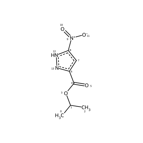 CC(C)OC(=O)c1cc([N+](=O)[O-])[nH]n1